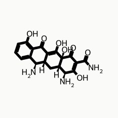 NC(=O)C1=C(O)[C@@H](N)[C@@H]2C[C@H]3C(=C(O)[C@]2(O)C1=O)C(=O)c1c(O)cccc1[C@@H]3N